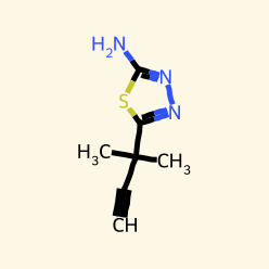 C#CC(C)(C)c1nnc(N)s1